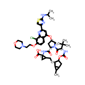 CCC1C[C@]1(NC(=O)[C@@H]1C[C@@H](Oc2cc(-c3csc(NC(C)C)n3)nc3c(Cl)c(OCCN4CCOCC4)ccc23)CN1C(=O)[C@@H](NC(=O)OC1CC2C(C)C2C1)C(C)(C)C)C(=O)O